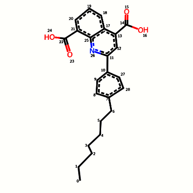 CCCCCCCc1ccc(-c2cc(C(=O)O)c3cccc(C(=O)O)c3n2)cc1